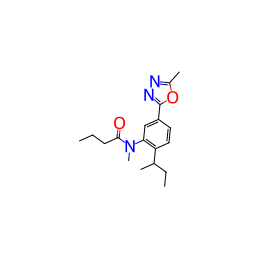 CCCC(=O)N(C)c1cc(-c2nnc(C)o2)ccc1C(C)CC